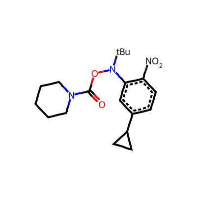 CC(C)(C)N(OC(=O)N1CCCCC1)c1cc(C2CC2)ccc1[N+](=O)[O-]